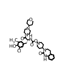 Cc1cc(C[C@@H](NC(=O)ON2CCC(N3CCc4ccccc4NC3=O)CC2)C(=O)N2CCN(C3CCOCC3)CC2)cc(Cl)c1O